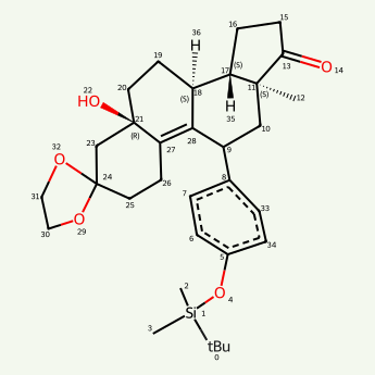 CC(C)(C)[Si](C)(C)Oc1ccc(C2C[C@]3(C)C(=O)CC[C@H]3[C@@H]3CC[C@@]4(O)CC5(CCC4=C23)OCCO5)cc1